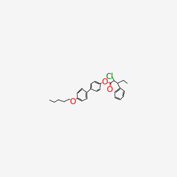 CCCCCOc1ccc(-c2ccc(OC(=O)C(Cl)C(CC)c3ccccc3)cc2)cc1